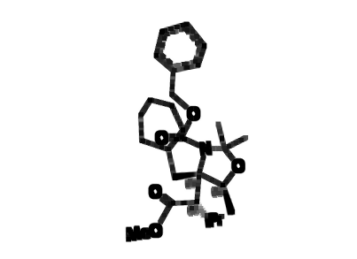 COC(=O)[C@@H](C(C)C)[C@@]1(CC2CCCCC2)[C@H](C)OC(C)(C)N1C(=O)OCc1ccccc1